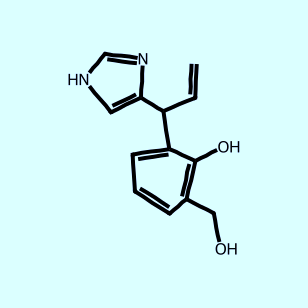 C=CC(c1c[nH]cn1)c1cccc(CO)c1O